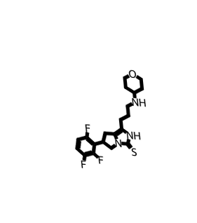 Fc1ccc(F)c(C2Cc3c(CCCNC4CCOCC4)[nH]c(=S)n3C2)c1F